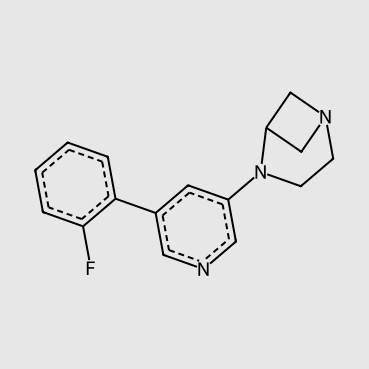 Fc1ccccc1-c1cncc(N2CCN3CC2C3)c1